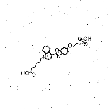 O=C(O)CCCCC[n+]1ccc(-c2nc3ccc(OCCCS(=O)(=O)O)cc3o2)c2ccccc21